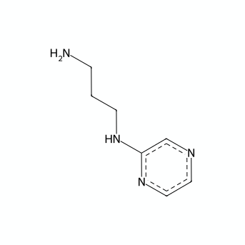 NCCCNc1cnccn1